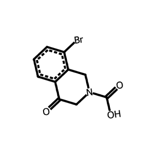 O=C1CN(C(=O)O)Cc2c(Br)cccc21